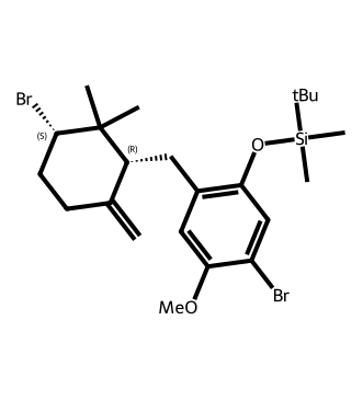 C=C1CC[C@H](Br)C(C)(C)[C@@H]1Cc1cc(OC)c(Br)cc1O[Si](C)(C)C(C)(C)C